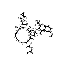 CCC(C)OC(=O)N[C@H]1CCCCC/C=C\[C@@H]2C[C@@]2(C(=O)NS(=O)(=O)C2(C)CC2)NC(=O)[C@@H]2C[C@]3(CCc4c(c(C(F)(F)F)nc5ccc(OC)cc45)O3)CN2C1=O